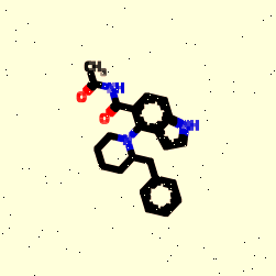 CC(=O)NC(=O)c1ccc2[nH]ccc2c1N1CCCCC1Cc1ccccc1